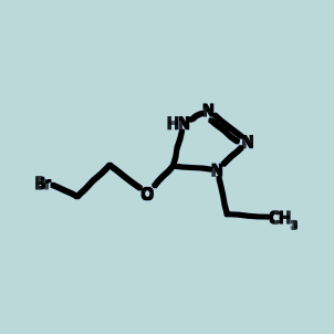 CCN1N=NNC1OCCBr